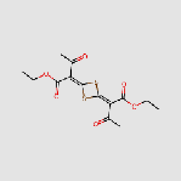 CCOC(=O)C(C(C)=O)=c1sc(=C(C(C)=O)C(=O)OCC)s1